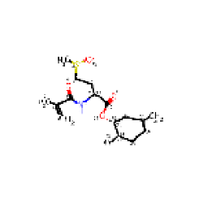 C=C(C)C(=O)N[C@@H](CC[S+](C)[O-])C(=O)O[C@@H]1CC(C)CC[C@H]1C(C)C